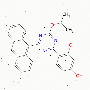 CC(C)Oc1nc(-c2ccc(O)cc2O)nc(-c2c3ccccc3cc3ccccc23)n1